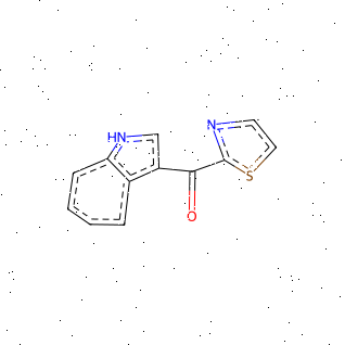 O=C(c1n[c]cs1)c1c[nH]c2ccccc12